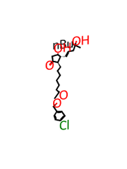 CCCCC(C)(O)CC=C[C@H]1[C@H](O)CC(=O)[C@@H]1CCCCCCC(=O)COCc1ccc(Cl)cc1